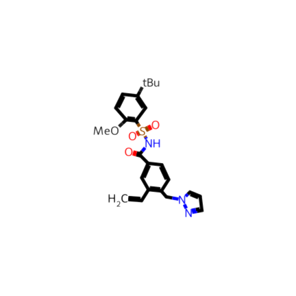 C=Cc1cc(C(=O)NS(=O)(=O)c2cc(C(C)(C)C)ccc2OC)ccc1Cn1cccn1